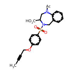 CC#CCOc1ccc(S(=O)(=O)N2Cc3ccccc3N(C(C)=O)CC2C(=O)O)cc1